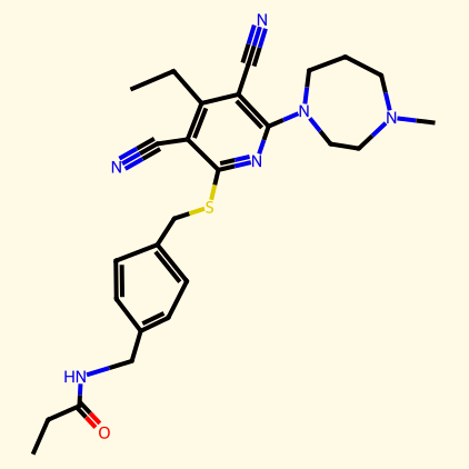 CCC(=O)NCc1ccc(CSc2nc(N3CCCN(C)CC3)c(C#N)c(CC)c2C#N)cc1